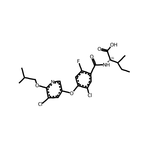 CCC(C)[C@H](NC(=O)c1cc(Cl)c(Oc2cnc(OCC(C)C)c(Cl)c2)cc1F)C(=O)O